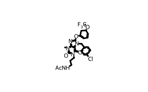 CC(=O)NCCCn1c(=O)c2c(nc(OC3=CC=CC(OC(F)(F)F)C3)n2Cc2ccc(Cl)cc2)n(C)c1=O